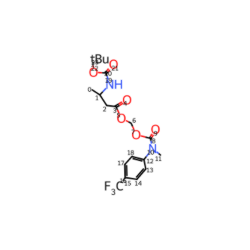 CC(CC(=O)OCOC(=O)N(C)c1ccc(C(F)(F)F)cc1)NC(=O)OC(C)(C)C